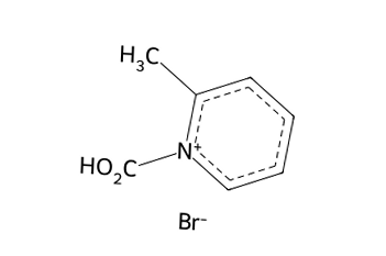 Cc1cccc[n+]1C(=O)O.[Br-]